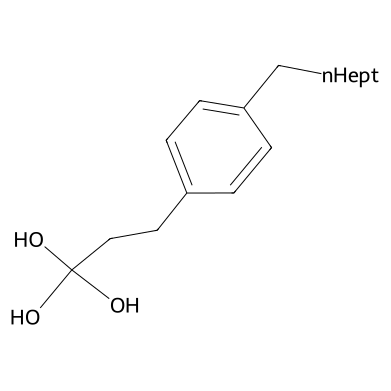 CCCCCCCCc1ccc(CCC(O)(O)O)cc1